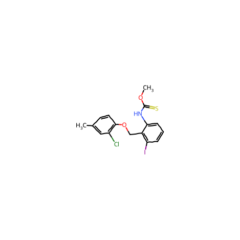 COC(=S)Nc1cccc(I)c1COc1ccc(C)cc1Cl